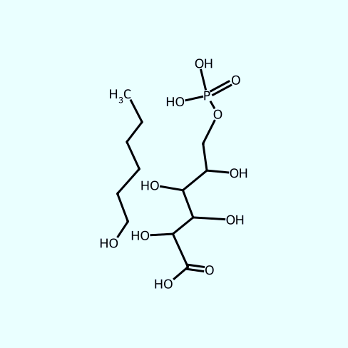 CCCCCCO.O=C(O)C(O)C(O)C(O)C(O)COP(=O)(O)O